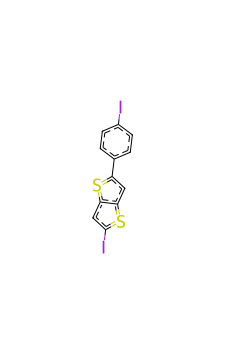 Ic1ccc(-c2cc3sc(I)cc3s2)cc1